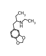 CCNC(CC)Cc1ccc2c(c1)OCO2